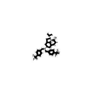 CC(C)[C@H]1CC2C[C@@H](N(Cc3ccc(C(F)(F)F)cc3)Cc3ccc(C(F)(F)F)cc3)C[C@H]3CCC(=O)N1C23